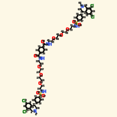 CN1Cc2c(Cl)cc(Cl)cc2[C@H](c2ccc(S(=O)(=O)NCCOCCOCCOCCNC(=O)c3ccc(C(=O)NCCOCCOCCOCCNS(=O)(=O)c4ccc([C@@H]5CN(C)Cc6c(Cl)cc(Cl)cc65)cc4)cc3)cc2)C1